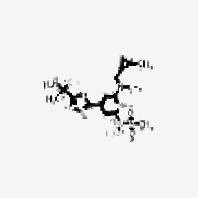 CC1CC1CN(C)c1cc(-c2nnc(C(C)(C)N)o2)cc(N(C)S(C)(=O)=O)n1